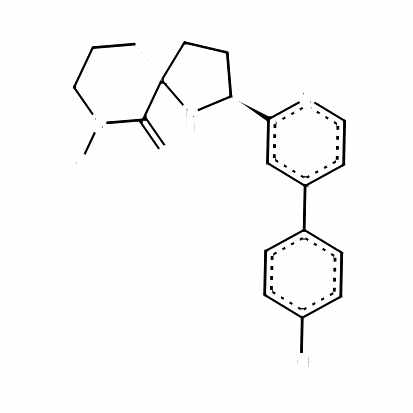 CN1CCC[C@@]2(CC[C@@H](c3cc(-c4ccc(C(F)(F)F)cc4)ccn3)N2)C1=O